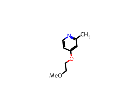 COCCOc1ccnc(C)c1